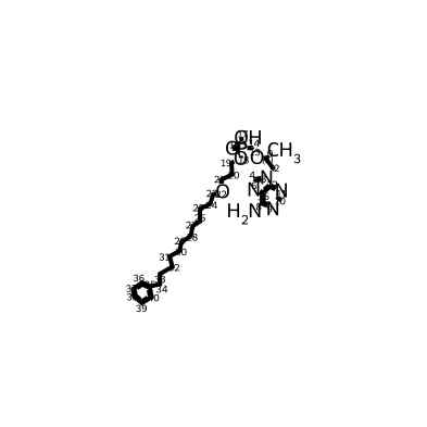 C[C@H](Cn1cnc2c(N)ncnc21)OCP(=O)(O)OCCCOCCCCCCCCCCCCc1ccccc1